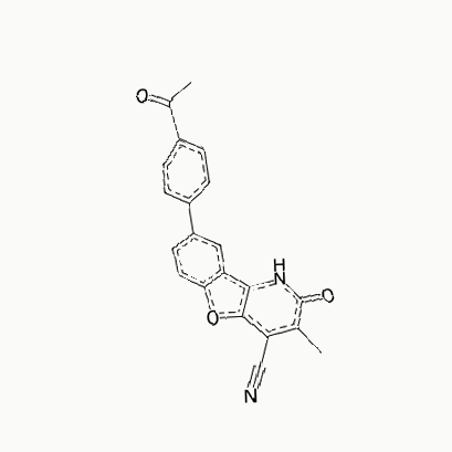 CC(=O)c1ccc(-c2ccc3oc4c(C#N)c(C)c(=O)[nH]c4c3c2)cc1